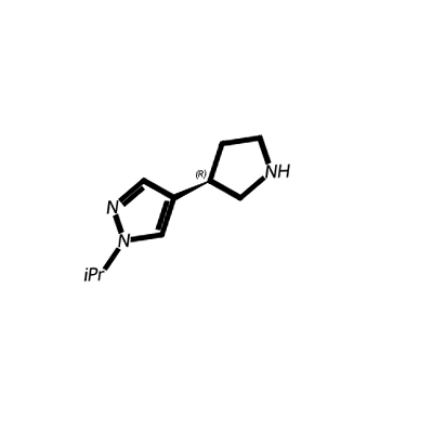 CC(C)n1cc([C@H]2CCNC2)cn1